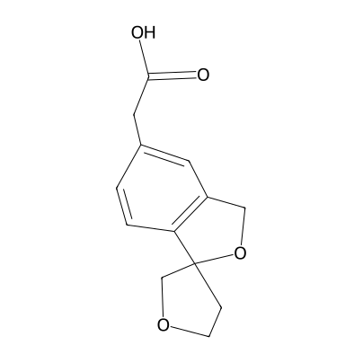 O=C(O)Cc1ccc2c(c1)COC21CCOC1